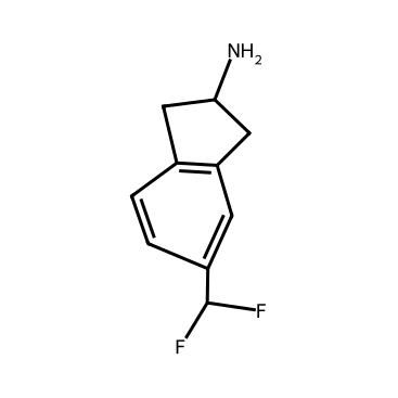 NC1Cc2ccc(C(F)F)cc2C1